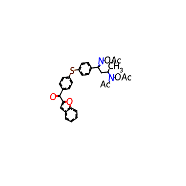 CC(=O)ON=C(CC(C)N(OC(C)=O)C(C)=O)c1ccc(Sc2ccc(C(=O)c3cc4ccccc4o3)cc2)cc1